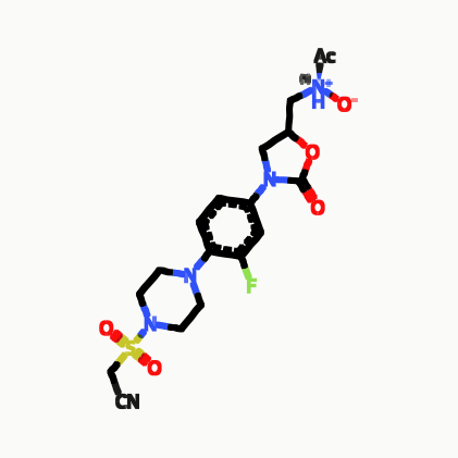 CC(=O)[N@@H+]([O-])CC1CN(c2ccc(N3CCN(S(=O)(=O)CC#N)CC3)c(F)c2)C(=O)O1